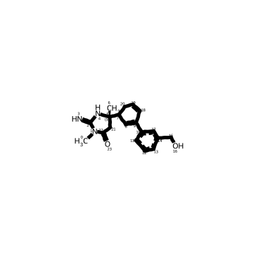 CN1C(=N)N[C@](C)(C2C=C(c3cccc(CO)c3)C=CC2)CC1=O